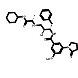 CC(=O)Nc1cc(C(=O)N[C@@H](Cc2ccccc2)[C@@H](O)CN[C@@H](C)C(=O)NC2CCCCC2)cc(N2CCCC2=O)c1